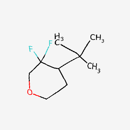 CC(C)(C)C1CCOCC1(F)F